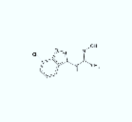 CC(=NO)Nc1coc2c(Cl)cccc12